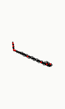 CCCCCCCC/C=C\CCCCCCCCOCCOCCOCCOCCOCCOCCOCCOCCOCCOCCC(CN1CCN(C)CC1)C(=O)O